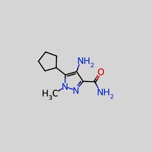 Cn1nc(C(N)=O)c(N)c1C1CCCC1